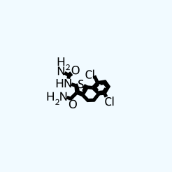 NC(=O)Nc1sc2c(c1C(N)=O)CCc1c(Cl)ccc(Cl)c1-2